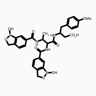 COc1ccc(CC(CC(=O)O)NC(=O)C(NC(=O)c2ccc3c(c2)B(O)OC3)C(C)NC(=O)c2ccc3c(c2)B(O)OC3)cc1